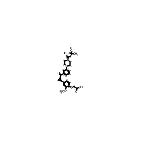 COc1cc(C2CC2C(=O)c2cccc(N3CCN(C(=O)OC(C)(C)C)CC3)c2)ccc1OCC(=O)O